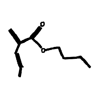 C=C(C=CC)C(=O)OCCCC